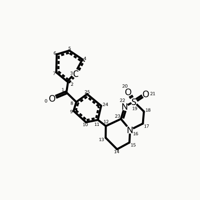 O=C(c1ccccc1)c1ccc(C2CCCN3CCS(=O)(=O)N=C23)cc1